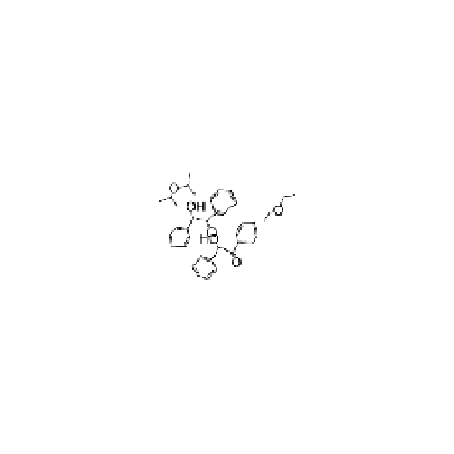 CC(C)OC(C)C.CCOCC.O=C(c1ccccc1)C(O)c1ccccc1.O=C(c1ccccc1)C(O)c1ccccc1